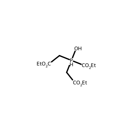 CCOC(=O)C[PH](O)(CC(=O)OCC)C(=O)OCC